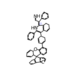 N=C/C(=C1\NC(c2ccccc2)=C(C2C=CC(c3cccc4c3OC3C=CC=CC3C43C4=C(C=CCC4)c4ccccc43)=CC2)C2=C1CCC=C2)c1ccccc1